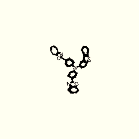 C1=CCc2oc(-c3ccc(N(c4ccc(-c5nc6ccccc6o5)cc4)c4ccc5sc6ccccc6c5c4)cc3)nc2C=C1